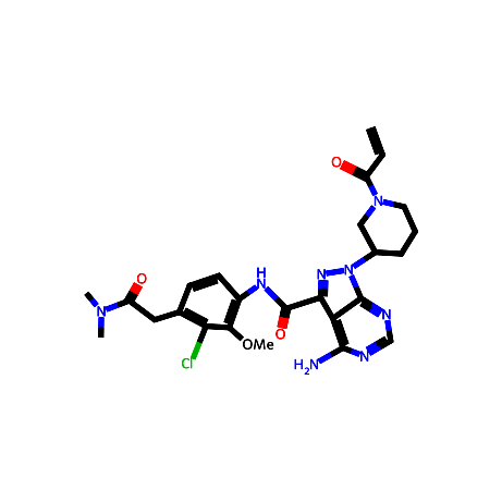 C=CC(=O)N1CCCC(n2nc(C(=O)Nc3ccc(CC(=O)N(C)C)c(Cl)c3OC)c3c(N)ncnc32)C1